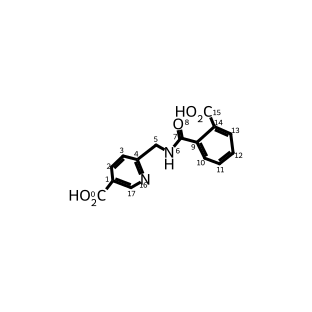 O=C(O)c1ccc(CNC(=O)c2ccccc2C(=O)O)nc1